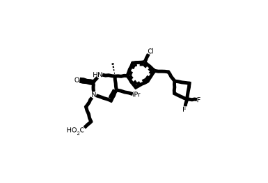 CC(C)C1=CN(CCC(=O)O)C(=O)N[C@@]1(C)c1ccc(CC2CC(F)(F)C2)c(Cl)c1